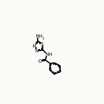 Nc1nnc(NC(=O)c2ccccc2)s1